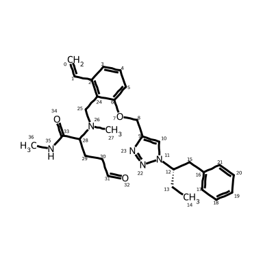 C=Cc1cccc(OCc2cn([C@@H](CC)Cc3ccccc3)nn2)c1CN(C)C(CCC=O)C(=O)NC